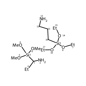 CCC(N)[Si](OC)(OC)OC.CCO[Si](CCCN)(OCC)OCC